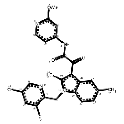 COc1cc(NC(=O)C(=O)c2c(C)n(Cc3ncc(Cl)cc3Cl)c3ccc(C)cc23)ccn1